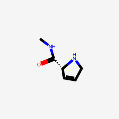 CNC(=O)[C@H]1C=CCN1